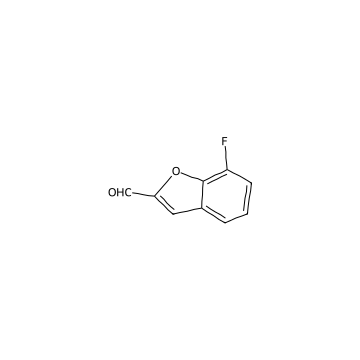 O=Cc1cc2cccc(F)c2o1